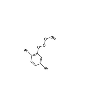 CC(C)c1ccc(C(C)C)c(OOOC(C)(C)C)c1